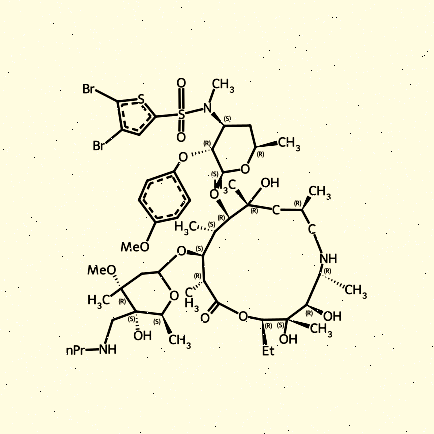 CCCNC[C@]1(O)[C@H](C)OC(O[C@H]2[C@H](C)[C@@H](O[C@@H]3O[C@H](C)C[C@H](N(C)S(=O)(=O)c4cc(Br)c(Br)s4)[C@H]3Oc3ccc(OC)cc3)[C@](C)(O)C[C@@H](C)CN[C@H](C)[C@@H](O)[C@](C)(O)[C@@H](CC)OC(=O)[C@@H]2C)C[C@@]1(C)OC